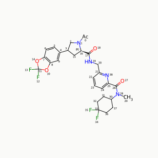 CC(=O)N1CC(c2ccc3c(c2)OC(F)(F)O3)C[C@@H]1C(=O)NCc1cccc(C(=O)N(C)C2CCC(F)(F)CC2)n1